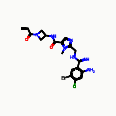 C=CC(=O)N1CC(NC(=O)c2cnc(CNC(=N)c3cc(CC)c(Cl)cc3N)n2C)C1